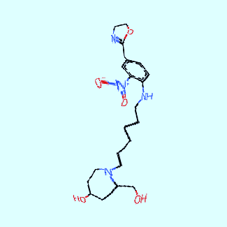 O=[N+]([O-])c1cc(C2=NCCO2)ccc1NCCCCCCN1CCC(O)CC1CO